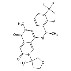 C[C@@H](Nc1nn(C)c(=O)c2cc(=O)n(C3(C)CCOC3)cc12)c1cccc(C(F)(F)F)c1F